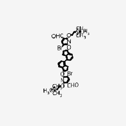 C[Si](C)(C)CCOc1nc(O[C@H]2CCc3c(-c4cccc5c4CC[C@@H]5Oc4nc(OCC[Si](C)(C)C)c(C=O)cc4Br)cccc32)c(Br)cc1C=O